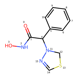 O=C(NO)C(c1ccccc1)N1CSC=N1